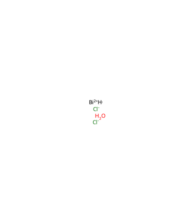 O.[BiH+2].[Cl-].[Cl-]